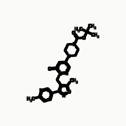 Cc1ccc(-c2noc(C)c2Cn2ncc(N3CCN(C(=O)OC(C)(C)C)CC3)cc2=O)cn1